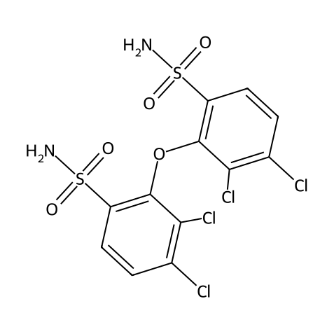 NS(=O)(=O)c1ccc(Cl)c(Cl)c1Oc1c(S(N)(=O)=O)ccc(Cl)c1Cl